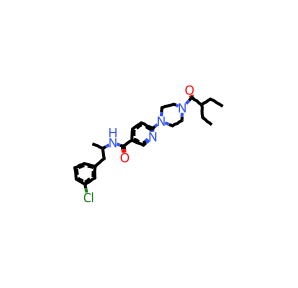 CCC(CC)C(=O)N1CCN(c2ccc(C(=O)NC(C)Cc3cccc(Cl)c3)cn2)CC1